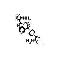 CCn1c(-c2nonc2N)nc2cncc(C(=O)N3CCN(C(=O)[C@@H](C)N)CC3)c21